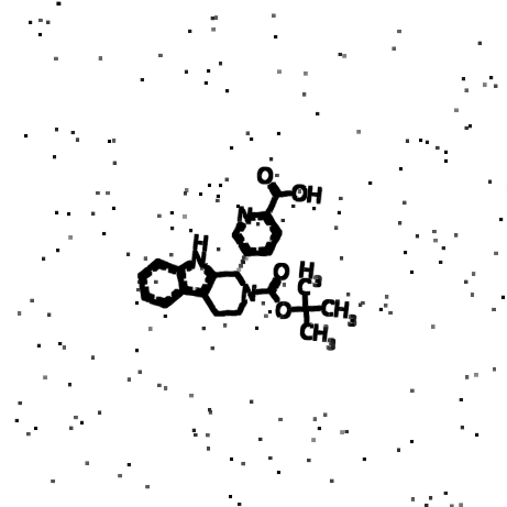 CC(C)(C)OC(=O)N1CCc2c([nH]c3ccccc23)[C@@H]1c1ccc(C(=O)O)nc1